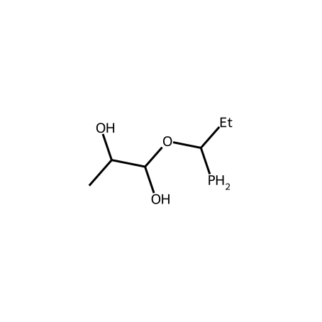 CCC(P)OC(O)C(C)O